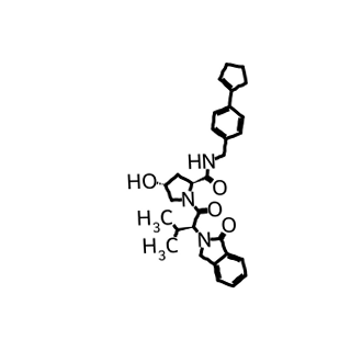 CC(C)[C@@H](C(=O)N1C[C@H](O)C[C@H]1C(=O)NCc1ccc(C2=CCCC2)cc1)N1Cc2ccccc2C1=O